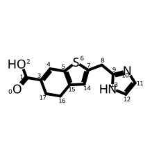 O=C(O)C1=Cc2sc(Cc3ncc[nH]3)cc2CC1